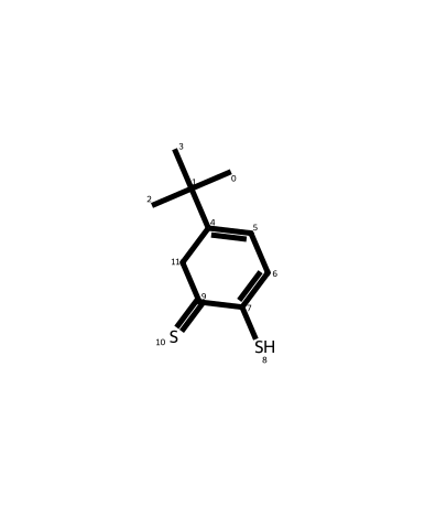 CC(C)(C)C1=CC=C(S)C(=S)C1